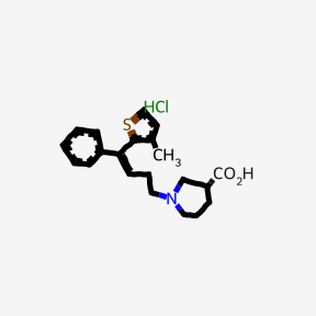 Cc1ccsc1/C(=C\CCN1CCCC(C(=O)O)C1)c1ccccc1.Cl